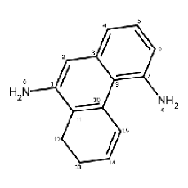 Nc1cc2cccc(N)c2c2c1CCC=C2